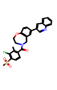 Cc1c(C(=O)N2CCOc3ccc(-c4cnc5ccccc5c4)cc3C2)ccc(S(C)(=O)=O)c1F